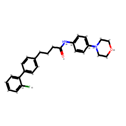 O=C(CCCc1ccc(-c2ccccc2F)cc1)Nc1ccc(N2CCOCC2)cc1